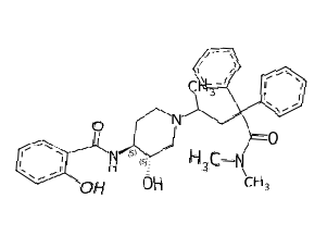 CC(CC(C(=O)N(C)C)(c1ccccc1)c1ccccc1)N1CC[C@H](NC(=O)c2ccccc2O)[C@@H](O)C1